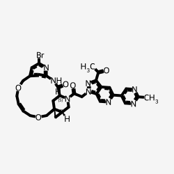 CC(=O)c1nn(CC(=O)N2C[C@@H]3C[C@]34COCC=CCOCc3cc(Br)nc(c3)NC(=O)[C@@H]2C4)c2cnc(-c3cnc(C)nc3)cc12